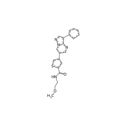 COCCNC(=O)c1cc(-c2cnc3c(-c4ccccc4)cnn3c2)cs1